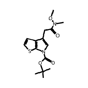 CON(C)C(=O)Cc1cn(C(=O)OC(C)(C)C)c2sccc12